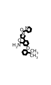 CC(C)c1ccccc1Oc1ccc(C2CCN(C(=O)c3ccccn3)C2)c(C(N)=O)c1